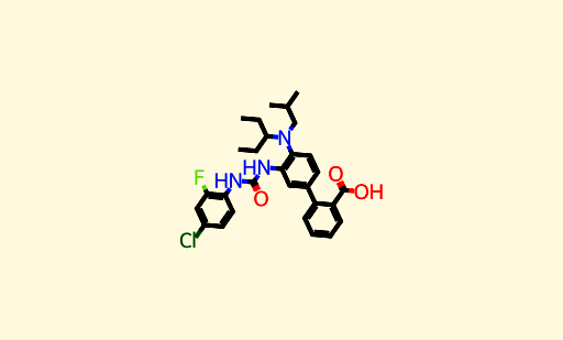 CCC(CC)N(CC(C)C)c1ccc(-c2ccccc2C(=O)O)cc1NC(=O)Nc1ccc(Cl)cc1F